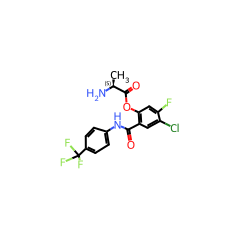 C[C@H](N)C(=O)Oc1cc(F)c(Cl)cc1C(=O)Nc1ccc(C(F)(F)F)cc1